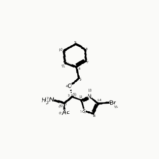 CC(=O)[C@@H](N)[C@H](OCC1=CCCCC1)c1nc(Br)cs1